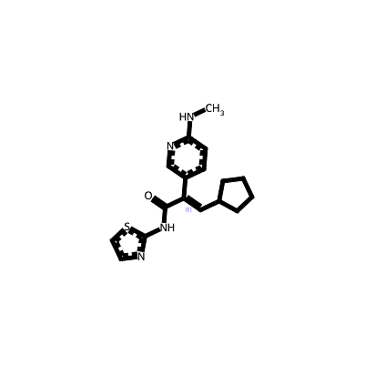 CNc1ccc(/C(=C\C2CCCC2)C(=O)Nc2nccs2)cn1